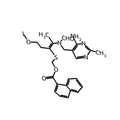 C/C(=C(\CCOI)SCOC(=O)c1cccc2ccccc12)N(C=O)Cc1cnc(C)nc1N